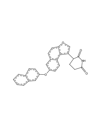 O=C1CCC(c2coc3ccc4cc(Oc5ccc6ccccc6c5)ccc4c23)C(=O)N1